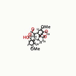 COc1ccc(C2(O)OC(=O)C(c3cc(OC)c4c(c3)OCO4)=C2CC2CCCC2)cc1C